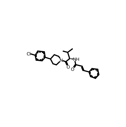 CC(C)[C@@H](NC(=O)/C=C/c1ccccc1)C(=O)N1CCC(c2ccc(Cl)cc2)CC1